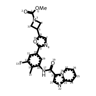 COC(=O)N1CC(c2cnc(-c3cc(F)c(C)c(NC(=O)c4cnc5ccccn45)c3)o2)C1